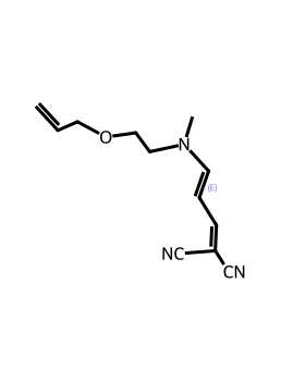 C=CCOCCN(C)/C=C/C=C(C#N)C#N